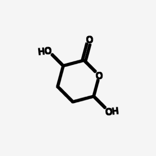 O=C1OC(O)CCC1O